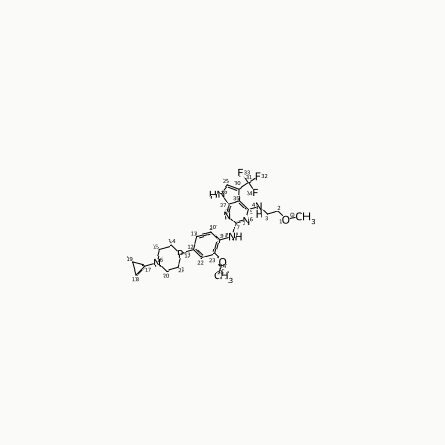 COCCNc1nc(Nc2ccc(P3CCN(C4CC4)CC3)cc2OC)nc2[nH]cc(C(F)(F)F)c12